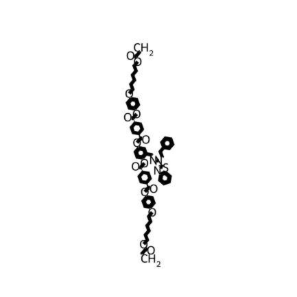 C=CC(=O)OCCCCCCOc1ccc(OC(=O)[C@H]2CC[C@H](C(=O)Oc3ccc(OC(=O)[C@H]4CC[C@H](C(=O)Oc5ccc(OCCCCCCOC(=O)C=C)cc5)CC4)c(/C=N/N(CCc4ccccc4)c4nc5ccccc5s4)c3)CC2)cc1